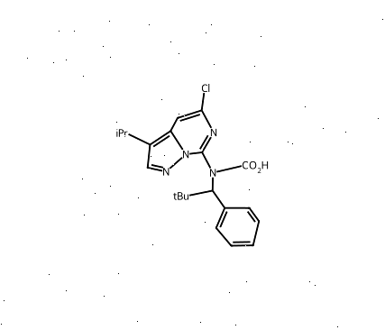 CC(C)c1cnn2c(N(C(=O)O)C(c3ccccc3)C(C)(C)C)nc(Cl)cc12